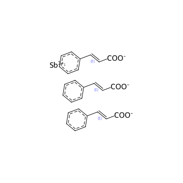 O=C([O-])/C=C/c1ccccc1.O=C([O-])/C=C/c1ccccc1.O=C([O-])/C=C/c1ccccc1.[Sb+3]